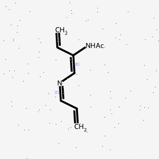 C=C/C=N\C=C(/C=C)NC(C)=O